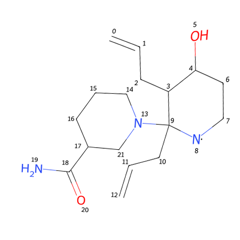 C=CCC1C(O)CC[N]C1(CC=C)N1CCCC(C(N)=O)C1